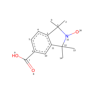 CC1(C)c2ccc(C(=O)O)cc2C(C)(C)N1[O]